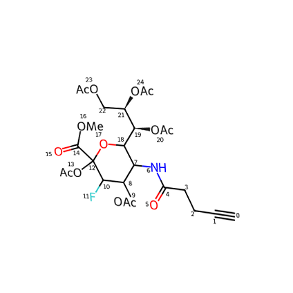 C#CCCC(=O)NC1C(OC(C)=O)C(F)C(OC(C)=O)(C(=O)OC)OC1[C@H](OC(C)=O)[C@@H](COC(C)=O)OC(C)=O